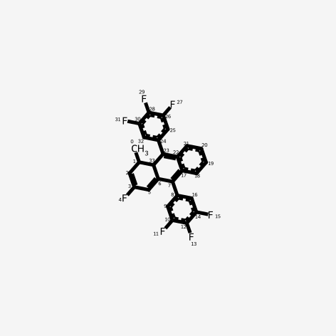 CC1C=C(F)C=C2C(c3cc(F)c(F)c(F)c3)=c3ccccc3=C(c3cc(F)c(F)c(F)c3)C21